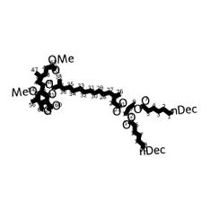 CCCCCCCCCCCCCCCC(=O)OCC(COC(=O)CCCCCCCCCCCCCCC)OC(=O)CC(C)CCCCCCCCCCC(C)C(=O)Oc1c(CC=C(C)CCC(=O)OC)c(OC)c(C)c2c1C(=O)OC2